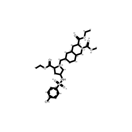 CCOC(=O)C1CC(NS(=O)(=O)c2ccc(Cl)cc2)CN1CC1CCC2CN(C(=O)OC)C(C(=O)OCC)CC2C1